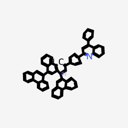 C=C(/C=C(\c1cc(-c2cc3ccccc3c3ccccc23)c2ccccc2c1)c1cc2ccccc2c2ccccc12)c1ccc(-c2cc(-c3ccccc3)c3ccccc3n2)cc1